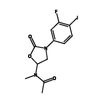 CC(=O)N(C)C1CN(c2ccc(I)c(F)c2)C(=O)O1